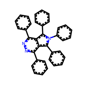 c1ccc(-c2nnc(-c3ccccc3)c3c(-c4ccccc4)n(-c4ccccc4)c(-c4ccccc4)c23)cc1